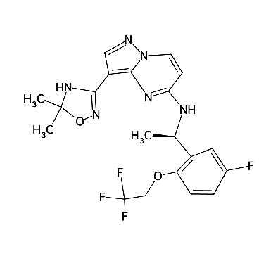 C[C@@H](Nc1ccn2ncc(C3=NOC(C)(C)N3)c2n1)c1cc(F)ccc1OCC(F)(F)F